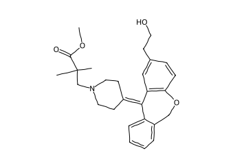 COC(=O)C(C)(C)CN1CCC(=C2c3ccccc3COc3ccc(CCO)cc32)CC1